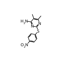 Cc1nc(Sc2ccc([N+](=O)[O-])cc2)nc(N)c1C